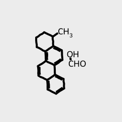 CC1CCCc2c1ccc1c2ccc2ccccc21.O=CO